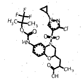 CC(CC1CN(S(=O)(=O)c2cn(C3CC3)nc2Cl)c2cc(NC(=O)OC(C)(C)C(F)(F)F)ccc2O1)C(=O)O